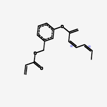 C=CC(=O)OCc1cccc(OC(=C)/C=C\C=C/C)c1